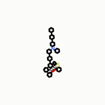 c1ccc(-c2ccc(-c3ccc(N(c4ccccc4)c4cccc(-c5ccc(-c6ccc7c(c6)[Si]6(c8ccccc8Sc8ccccc86)c6ccccc6[Si]7(c6ccccc6)c6ccccc6)cc5)c4)cc3)cc2)cc1